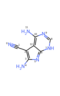 N#Cc1c(N)nc2[nH]cnc(N)c1-2